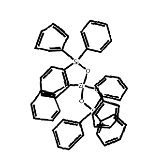 c1ccc([O][Zr]([O]c2ccccc2)([O][Si](c2ccccc2)(c2ccccc2)c2ccccc2)[O][Si](c2ccccc2)(c2ccccc2)c2ccccc2)cc1